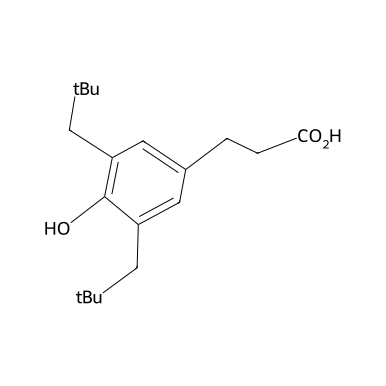 CC(C)(C)Cc1cc(CCC(=O)O)cc(CC(C)(C)C)c1O